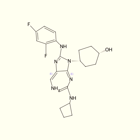 C=C(/N=C1\C(=C/N)N=C(Nc2ccc(F)cc2F)N1[C@H]1CC[C@@H](O)CC1)NC1CCC1